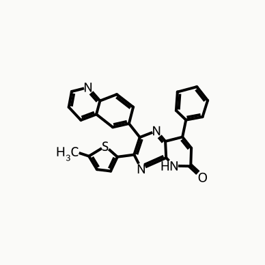 Cc1ccc(-c2nc3[nH]c(=O)cc(-c4ccccc4)c3nc2-c2ccc3ncccc3c2)s1